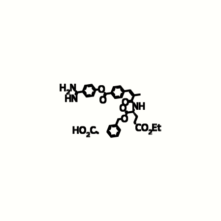 CC(=O)O.CCOC(=O)CC[C@H](NC(=O)C(C)=Cc1ccc(C(=O)Oc2ccc(C(=N)N)cc2)cc1)C(=O)OCc1ccccc1